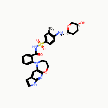 O=C(NS(=O)(=O)c1ccc(NC[C@H]2CC[C@H](O)CO2)c([N+](=O)[O-])c1)c1ccccc1N1CCCOc2nc3[nH]ccc3cc21